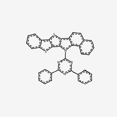 c1ccc(-c2nc(-c3ccccc3)nc(-n3c4c5ccccc5ccc4c4sc5c6ccccc6sc5c43)n2)cc1